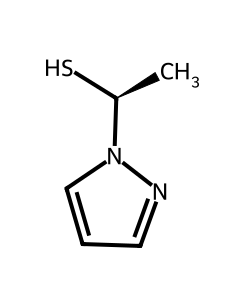 C[C@H](S)n1cccn1